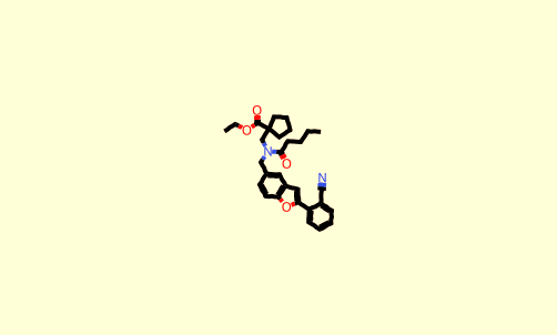 CCCCC(=O)N(Cc1ccc2oc(-c3ccccc3C#N)cc2c1)CC1(C(=O)OCC)CCCC1